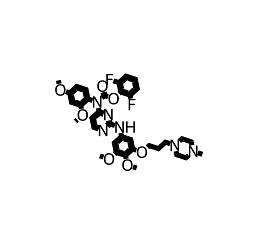 COc1ccc(N(C(=O)Oc2c(F)cccc2F)c2ccnc(Nc3cc(OC)c(OC)c(OCCCN4CCN(C)CC4)c3)n2)c(OC)c1